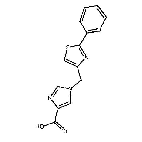 O=C(O)c1cn(Cc2csc(-c3ccccc3)n2)cn1